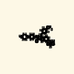 CN1CCN(c2ccc(NC(=O)c3cc4cc(NS(C)(=O)=O)ccc4n3Cc3ccc(C(F)(F)F)cc3)cc2)CC1